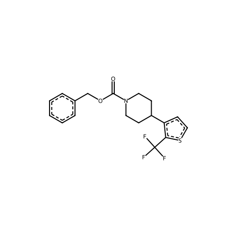 O=C(OCc1ccccc1)N1CCC(c2ccsc2C(F)(F)F)CC1